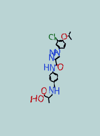 CC(C)Oc1ccc(-n2cc(C(=O)Nc3ccc(CNCC(C)C(=O)O)cc3)nn2)cc1Cl